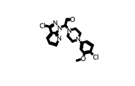 COc1cc(N2CCN(C(C=O)n3nc(Cl)c4cccnc43)CC2)ccc1Cl